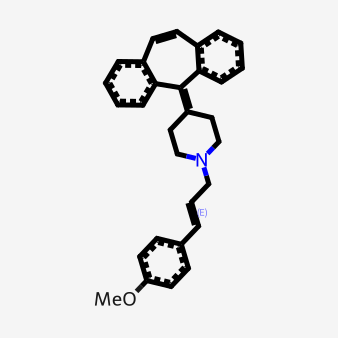 COc1ccc(/C=C/CN2CCC(=C3c4ccccc4C=Cc4ccccc43)CC2)cc1